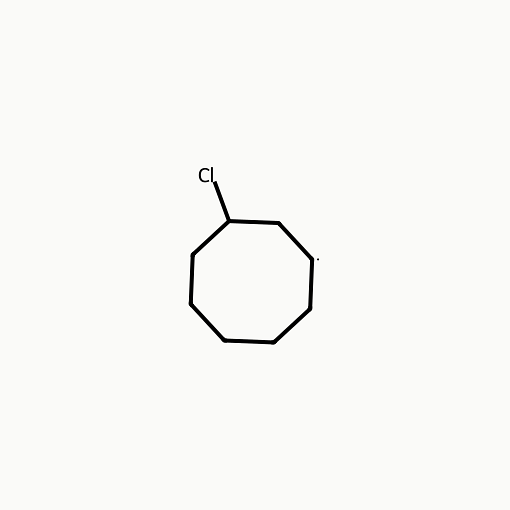 ClC1C[CH]CCCCC1